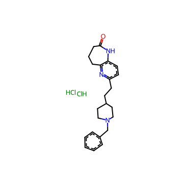 Cl.Cl.O=C1CCCc2nc(CCC3CCN(Cc4ccccc4)CC3)ccc2N1